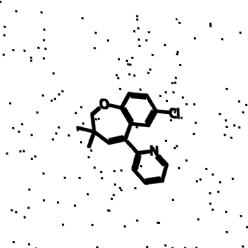 CC1(C)C=C(c2ccccn2)c2cc(Cl)ccc2OC1